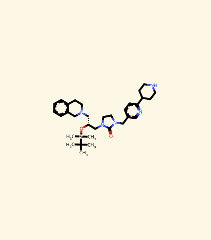 CC(C)(C)[Si](C)(C)O[C@H](CN1CCc2ccccc2C1)CN1CCN(Cc2ccc(C3CCNCC3)nc2)C1=O